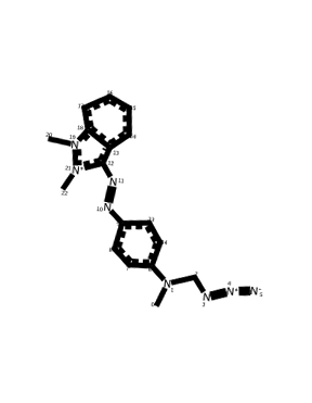 CN(CN=[N+]=[N-])c1ccc(N=Nc2c3ccccc3n(C)[n+]2C)cc1